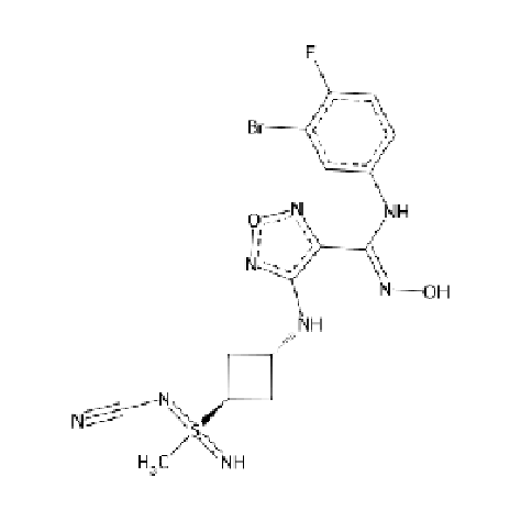 CS(=N)(=NC#N)[C@H]1C[C@H](Nc2nonc2/C(=N/O)Nc2ccc(F)c(Br)c2)C1